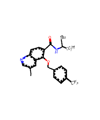 Cc1cnc2ccc(C(=O)NC(C(=O)O)C(C)(C)C)c(OCc3ccc(C(F)(F)F)cc3)c2c1